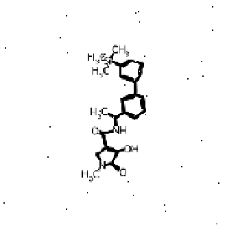 CC(NC(=O)C1=C(O)C(=O)N(C)C1)c1cccc(-c2cccc([Si](C)(C)C)c2)c1